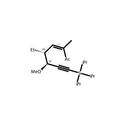 CC[C@H](/C=C(/C)C(C)=O)[C@@H](C#C[Si](C(C)C)(C(C)C)C(C)C)OC